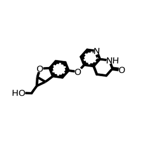 O=C1CCc2c(Oc3ccc4c(c3)C3C(CO)C3O4)ccnc2N1